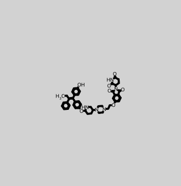 CC/C(=C(\c1ccc(O)cc1)c1ccc(OC2CCC(N3CCN(CCOc4ccc5c(c4)C(=O)N(C4CCC(=O)NC4=O)C5=O)CC3)CN2)cc1)c1ccccc1